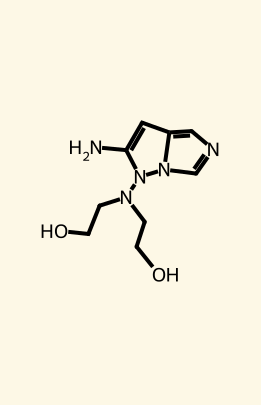 Nc1cc2cncn2n1N(CCO)CCO